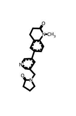 CN1C(=O)CCc2cc(-c3cncc(CN4CCCC4=O)c3)ccc21